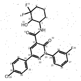 O=C(NC1CCCC(F)(F)C1O)c1cc(-c2ccc(Cl)cc2)nn(-c2cccc(F)c2)c1=O